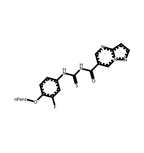 CCCCCOc1ccc(NC(=S)NC(=O)c2cnc3ccnn3c2)cc1F